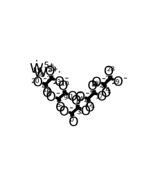 O=C([O-])C(=O)[O-].O=C([O-])C(=O)[O-].O=C([O-])C(=O)[O-].O=C([O-])C(=O)[O-].O=C([O-])C(=O)[O-].[W+5].[W+5]